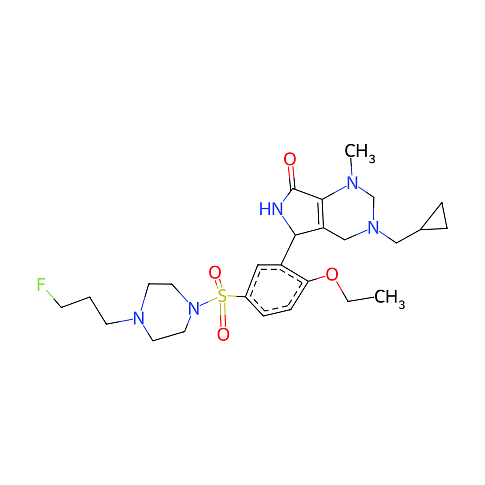 CCOc1ccc(S(=O)(=O)N2CCN(CCCF)CC2)cc1C1NC(=O)C2=C1CN(CC1CC1)CN2C